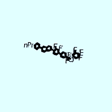 CCCc1ccc(-c2ccc3cc(-c4ccc(-c5ccc(C(F)(F)Oc6cc(F)c(F)c(F)c6)cc5)c(F)c4F)ccc3c2)cc1